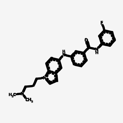 CN(C)CCCn1ccc2cc(Nc3cccc(C(=O)Nc4cccc(F)c4)c3)ccc21